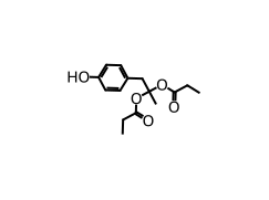 CCC(=O)OC(C)(Cc1ccc(O)cc1)OC(=O)CC